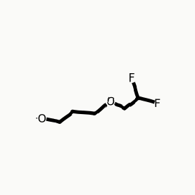 [O]CCCOCC(F)F